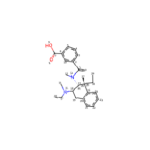 C=C(c1cccc(C(=O)O)c1)N(C)[C@H]1C(N(C)CC)Cc2ccccc2[C@@]1(C)CC